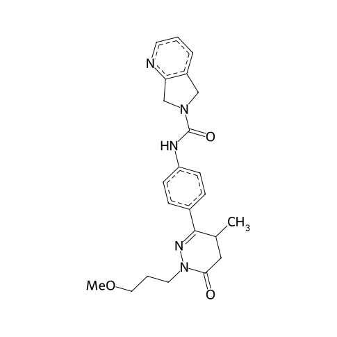 COCCCN1N=C(c2ccc(NC(=O)N3Cc4cccnc4C3)cc2)C(C)CC1=O